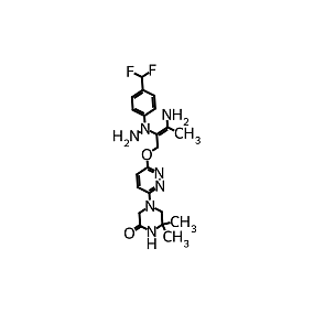 C/C(N)=C(\COc1ccc(N2CC(=O)NC(C)(C)C2)nn1)N(N)c1ccc(C(F)F)cc1